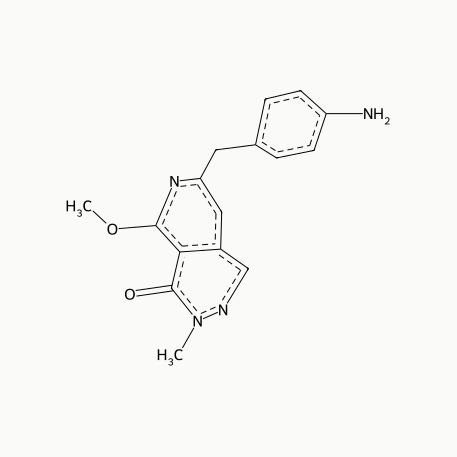 COc1nc(Cc2ccc(N)cc2)cc2cnn(C)c(=O)c12